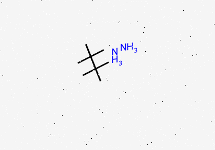 CC(C)(C)C(C)(C)C.N.N